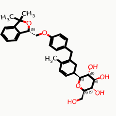 CC1=C(Cc2ccc(OC[C@H]3OC(C)(C)c4ccccc43)cc2)CC([C@@H]2O[C@H](CO)[C@@H](O)[C@H](O)[C@H]2O)C=C1